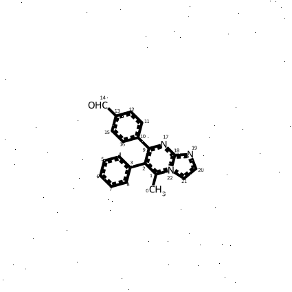 Cc1c(-c2ccccc2)c(-c2ccc(C=O)cc2)nc2nccn12